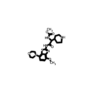 COC(=O)NC(C(=O)Nc1nc2c(OC)ccc(N3CCOCC3)c2s1)C1CCNCC1